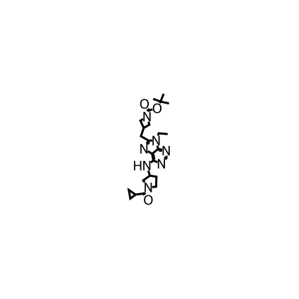 CCn1c(CC2CN(C(=O)OC(C)(C)C)C2)nc2c(NC3CCN(C(=O)C4CC4)C3)ncnc21